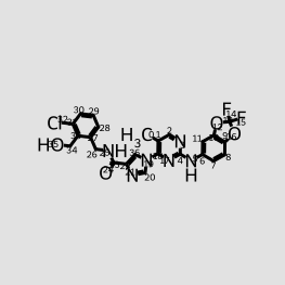 Cc1cnc(Nc2ccc3c(c2)OC(F)(F)O3)nc1-n1cnc(C(=O)NCc2cccc(Cl)c2CO)c1